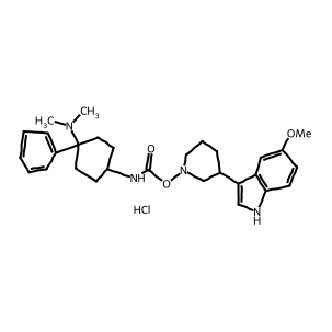 COc1ccc2[nH]cc(C3CCCN(OC(=O)NC4CCC(c5ccccc5)(N(C)C)CC4)C3)c2c1.Cl